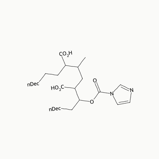 CCCCCCCCCCCCC(C(=O)O)C(C)CC(C(=O)O)C(CCCCCCCCCCC)OC(=O)n1ccnc1